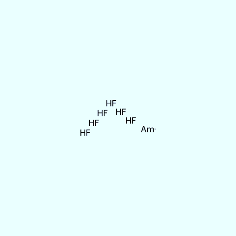 F.F.F.F.F.F.[Am]